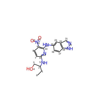 CCC(CO)Nc1ccc([N+](=O)[O-])c(Nc2ccc3[nH]ncc3c2)n1